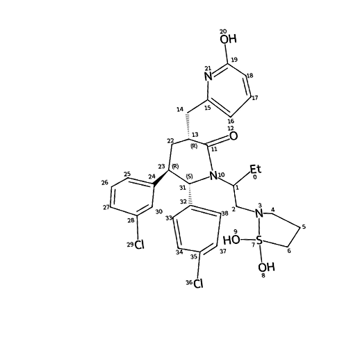 CCC(CN1CCCS1(O)O)N1C(=O)[C@@H](Cc2cccc(O)n2)C[C@H](c2cccc(Cl)c2)[C@H]1c1ccc(Cl)cc1